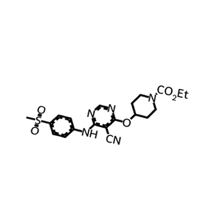 CCOC(=O)N1CCC(Oc2ncnc(Nc3ccc(S(C)(=O)=O)cc3)c2C#N)CC1